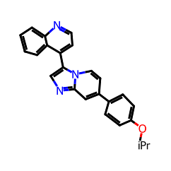 CC(C)Oc1ccc(-c2ccn3c(-c4ccnc5ccccc45)cnc3c2)cc1